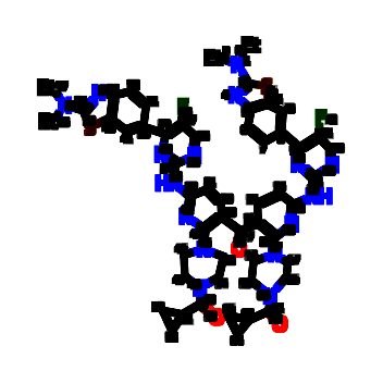 CCN(CC)c1nc2ccc(-c3nc(Nc4ccc(C(=O)c5ccc(Nc6ncc(F)c(-c7ccc8nc(N(CC)CC)sc8c7)n6)nc5N5CCN(C(=O)C6CC6)CC5)c(N5CCN(C(=O)C6CC6)CC5)n4)ncc3F)cc2s1